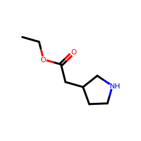 CCOC(=O)CC1CCNC1